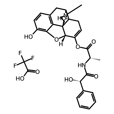 C[C@H](NC(=O)[C@@H](O)c1ccccc1)C(=O)OC1=CC[C@]2(O)C3Cc4ccc(O)c5c4[C@@]2(CCN3C)[C@H]1O5.O=C(O)C(F)(F)F